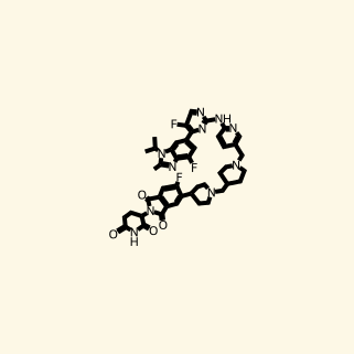 Cc1nc2c(F)cc(-c3nc(Nc4ccc(CN5CCC(CN6CCC(c7cc8c(cc7F)C(=O)N(C7CCC(=O)NC7=O)C8=O)CC6)CC5)cn4)ncc3F)cc2n1C(C)C